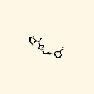 CN(c1nccs1)C1CN(CC#Cc2cccc(Cl)c2)C1